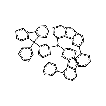 c1ccc(-c2ccc3oc4cccc(N(c5cccc(C6(c7ccccc7)c7ccccc7-c7ccccc76)c5)c5ccc6sc7cccc(-c8ccccc8)c7c6c5)c4c3c2)cc1